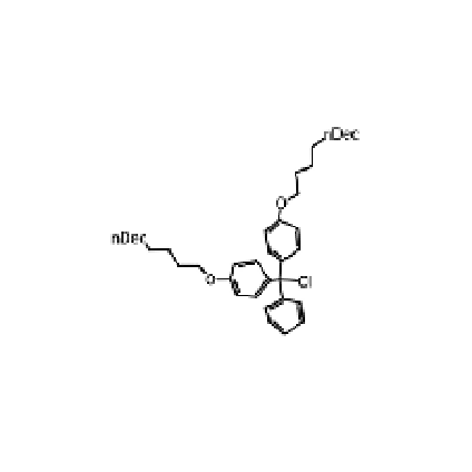 CCCCCCCCCCCCCCOc1ccc(C(Cl)(c2ccccc2)c2ccc(OCCCCCCCCCCCCCC)cc2)cc1